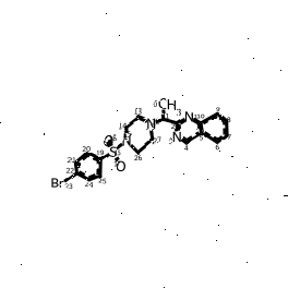 CC(c1ncc2ccccc2n1)N1CCN(S(=O)(=O)c2ccc(Br)cc2)CC1